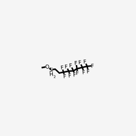 CO[SiH2]CCC(F)(F)C(F)(F)C(F)(F)C(F)(F)C(F)(F)C(F)(F)F